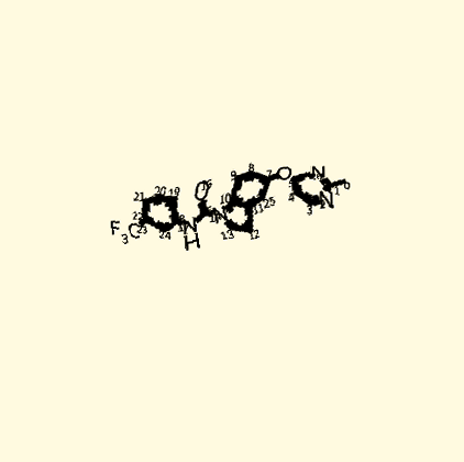 Cc1nccc(Oc2ccc3c(ccn3C(=O)Nc3cccc(C(F)(F)F)c3)c2)n1